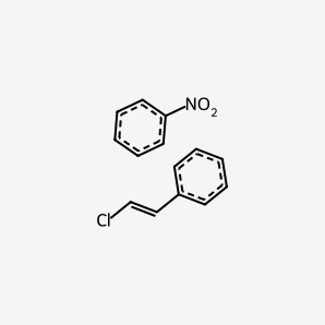 ClC=Cc1ccccc1.O=[N+]([O-])c1ccccc1